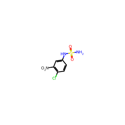 NS(=O)(=O)Nc1ccc(Cl)c([N+](=O)[O-])c1